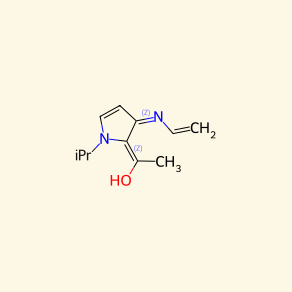 C=C/N=C1/C=CN(C(C)C)/C1=C(/C)O